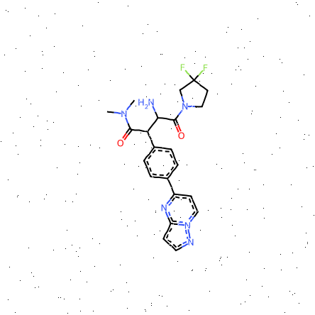 CN(C)C(=O)C(c1ccc(-c2ccn3nccc3n2)cc1)C(N)C(=O)N1CCC(F)(F)C1